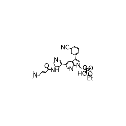 CCOP(=O)(O)OCn1cc(-c2cccc(C#N)c2)c2cc(-c3cncc(NC(=O)C=CCN(C)C)c3)cnc21